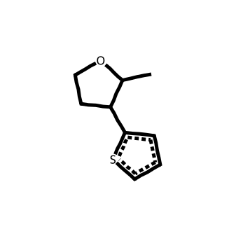 CC1OCCC1c1cccs1